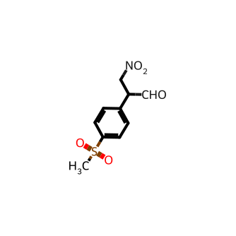 CS(=O)(=O)c1ccc(C(C=O)C[N+](=O)[O-])cc1